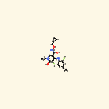 Cc1ccc(Nc2c(C(=O)NOCC3CC3)cn(C)c(=O)c2F)c(F)c1